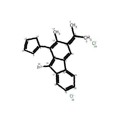 CC(C)=c1cc2c(c(C3=CC=CC3)c1C)=[C]([Zr+2])c1ccccc1-2.[Cl-].[Cl-]